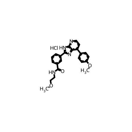 COCCNC(=O)c1cccc(-c2nc3c(-c4ccc(OC)cc4)ccnc3[nH]2)c1.Cl